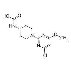 COc1cc(Cl)nc(N2CCC(NC(=O)O)CC2)n1